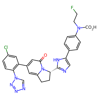 O=C(O)N(CCF)c1ccc(-c2cnc([C@@H]3CCc4cc(-c5cc(Cl)ccc5-n5cnnn5)cc(=O)n43)[nH]2)cc1